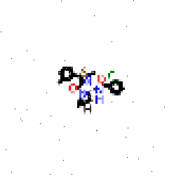 Cc1cccc(-c2sc(C)nc2C(=O)N2C3C[C@H]3C[C@H]2CNC(=O)c2ccccc2Cl)c1